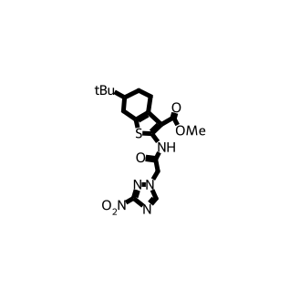 COC(=O)c1c(NC(=O)Cn2cnc([N+](=O)[O-])n2)sc2c1CCC(C(C)(C)C)C2